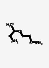 CC(CN)OCCON